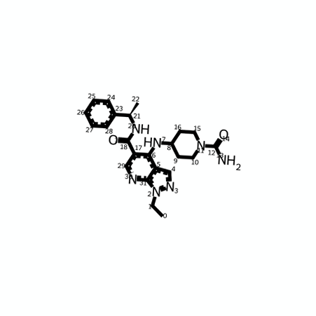 CCn1ncc2c(NC3CCN(C(N)=O)CC3)c(C(=O)N[C@H](C)c3ccccc3)cnc21